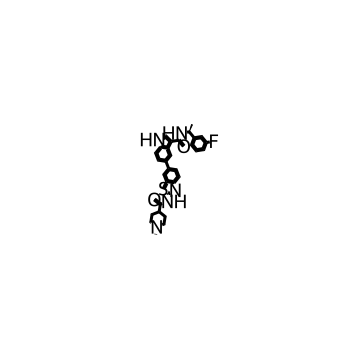 C[C@H](NC(=O)c1c[nH]c2ccc(-c3ccc4nc(NC(=O)C5CCN(C)CC5)sc4c3)cc12)c1cccc(F)c1